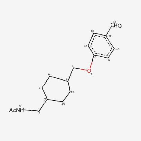 CC(=O)NCC1CCC(COc2ccc(C=O)cc2)CC1